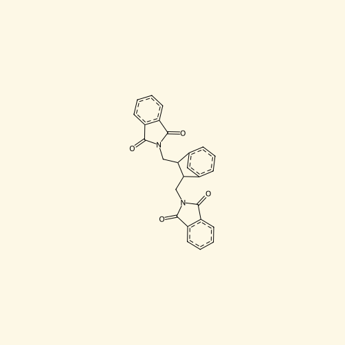 O=C1c2ccccc2C(=O)N1CC1c2cccc(c2)C1CN1C(=O)c2ccccc2C1=O